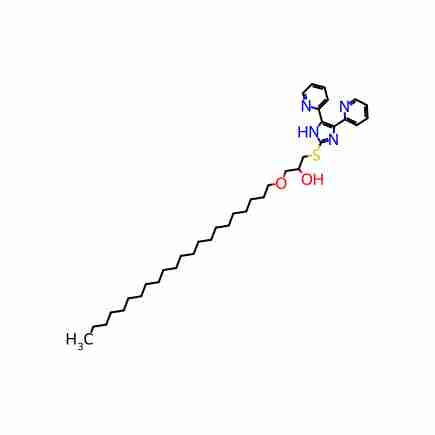 CCCCCCCCCCCCCCCCCCCCCCOCC(O)CSc1nc(-c2ccccn2)c(-c2ccccn2)[nH]1